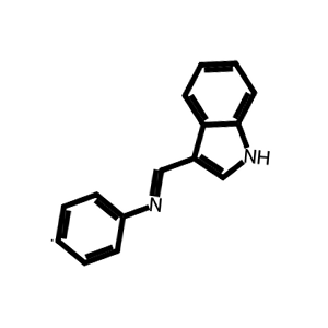 [c]1ccc(N=Cc2c[nH]c3ccccc23)cc1